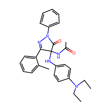 CCN(CC)c1ccc(NC2(NC(C)=O)C(=O)N(c3ccccc3)N=C2c2ccccc2C)cc1